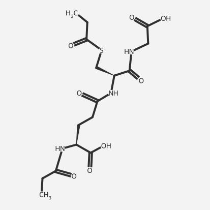 CCC(=O)N[C@@H](CCC(=O)N[C@@H](CSC(=O)CC)C(=O)NCC(=O)O)C(=O)O